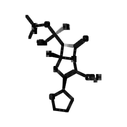 CC[C@](O[SiH](C)C)([C@@H]1C(=O)N2C(C(=O)O)=C([C@H]3CCCO3)S[C@H]12)C(C)(C)C